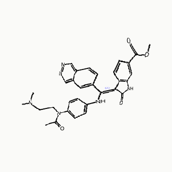 COC(=O)c1ccc2c(c1)NC(=O)/C2=C(\Nc1ccc(N(CCN(C)C)C(C)=O)cc1)c1ccc2cnncc2c1